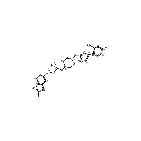 Cc1nc2cc(OC[C@H](O)CN3CCN(Cc4cc(-c5ccc(Cl)cc5Cl)no4)CC3)ccc2s1